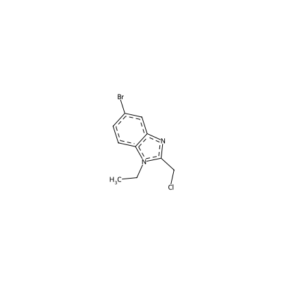 CCn1c(CCl)nc2cc(Br)ccc21